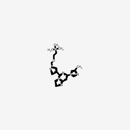 Cc1cn(-c2cc3nccn3c(-c3cnn(COCC[Si](C)(C)C)c3)n2)cn1